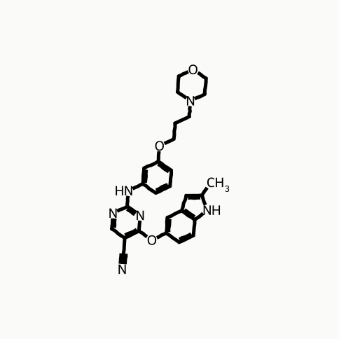 Cc1cc2cc(Oc3nc(Nc4cccc(OCCCN5CCOCC5)c4)ncc3C#N)ccc2[nH]1